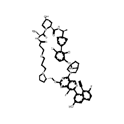 C#Cc1c(F)ccc2cc(O)cc(-c3ncc4c(N5CC6CCC(C5)N6)nc(OC[C@@H]5CCCN5CCCOCCC(=O)N[C@H](C(=O)N5C[C@H](O)C[C@H]5C(=O)N[C@@H](C)c5ccc(-c6c(Cl)ccc(Cl)c6Cl)cc5)C(C)(C)C)nc4c3F)c12